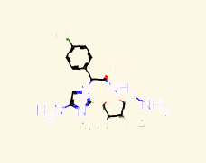 CC(=O)O[C@@H]1[C@H](OC(C)=O)[C@@H](CN)O[C@H]1c1nc(N)cn1C(C(N)=O)c1ccc(Cl)cc1